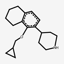 c1cc(C2CCNCC2)c(OCC2CC2)c2c1CCCC2